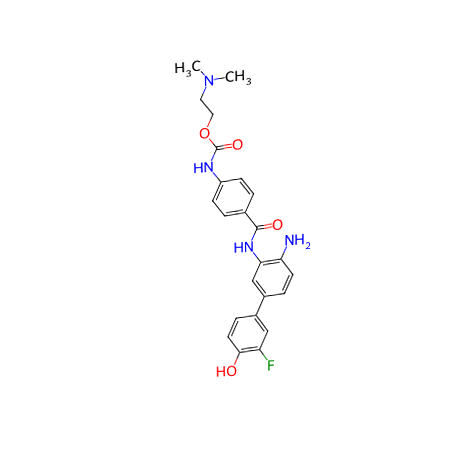 CN(C)CCOC(=O)Nc1ccc(C(=O)Nc2cc(-c3ccc(O)c(F)c3)ccc2N)cc1